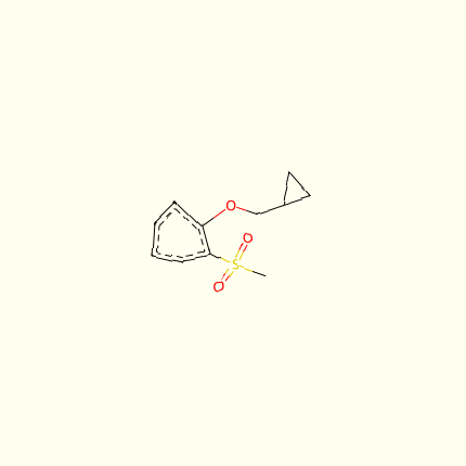 CS(=O)(=O)c1ccccc1OCC1CC1